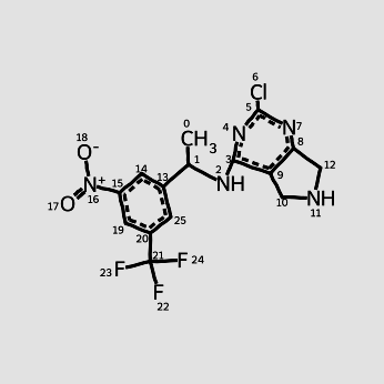 CC(Nc1nc(Cl)nc2c1CNC2)c1cc([N+](=O)[O-])cc(C(F)(F)F)c1